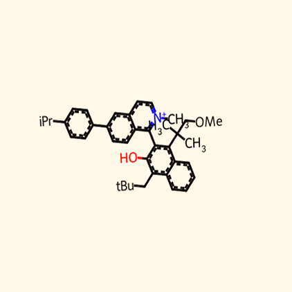 COCC(C)(C)c1c(-c2c3ccc(-c4ccc(C(C)C)cc4)cc3cc[n+]2C)c(O)c(CC(C)(C)C)c2ccccc12